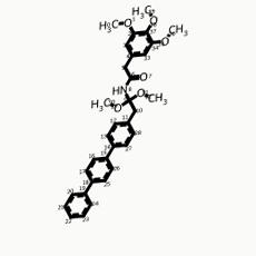 COc1cc(CC(=O)NC(Cc2ccc(-c3ccc(-c4ccccc4)cc3)cc2)(OC)OC)cc(OC)c1OC